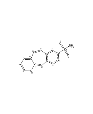 NS(=O)(=O)c1ccc2c(c1)C=CC1=CC=CSC1=C2